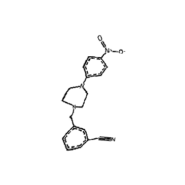 N#Cc1cccc(CN2CCN(c3ccc([N+](=O)[O-])cc3)CC2)c1